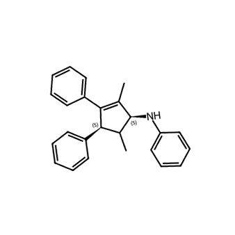 CC1=C(c2ccccc2)[C@H](c2ccccc2)C(C)[C@@H]1Nc1ccccc1